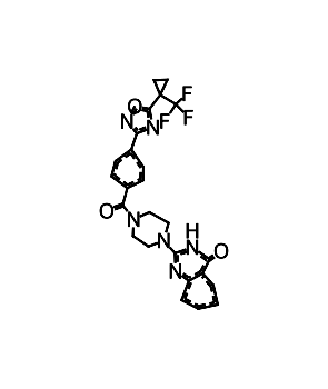 O=C(c1ccc(-c2noc(C3(C(F)(F)F)CC3)n2)cc1)N1CCN(c2nc3ccccc3c(=O)[nH]2)CC1